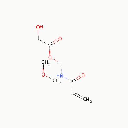 C=CC(=O)NCOC(=O)CO.COC